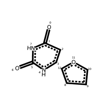 O=c1cc[nH]c(=O)[nH]1.c1ccoc1